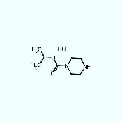 CC(C)OC(=O)N1CCNCC1.Cl